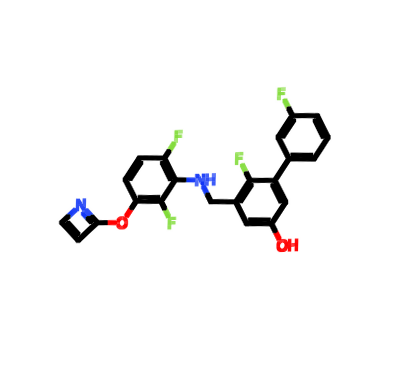 Oc1cc(CNc2c(F)ccc(OC3=NC=C3)c2F)c(F)c(-c2cccc(F)c2)c1